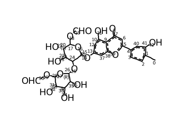 Cc1ccc(-c2cc(=O)c3c(O)cc(O[C@@H]4OC(OC=O)[C@@H](O)[C@H](O)C4O[C@@H]4OC(OC=O)[C@@H](O)[C@H](O)C4O)cc3o2)cc1O